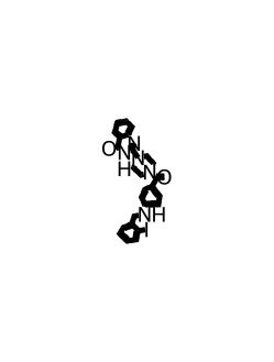 O=C(c1ccc(NCc2ccccc2I)cc1)N1CCN(c2nc3ccccc3c(=O)[nH]2)CC1